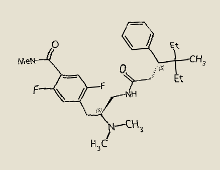 CCC(C)(CC)[C@H](CC(=O)NC[C@H](Cc1cc(F)c(C(=O)NC)cc1F)N(C)C)c1ccccc1